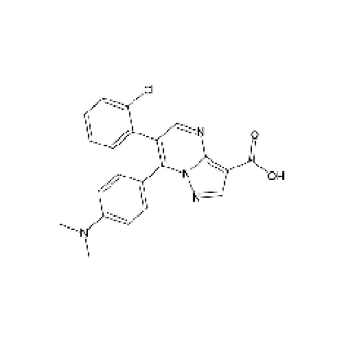 CN(C)c1ccc(-c2c(-c3ccccc3Cl)cnc3c(C(=O)O)cnn23)cc1